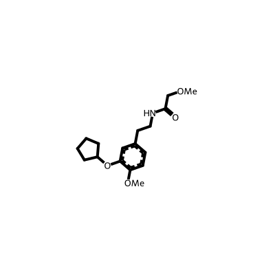 COCC(=O)NCCc1ccc(OC)c(OC2CCCC2)c1